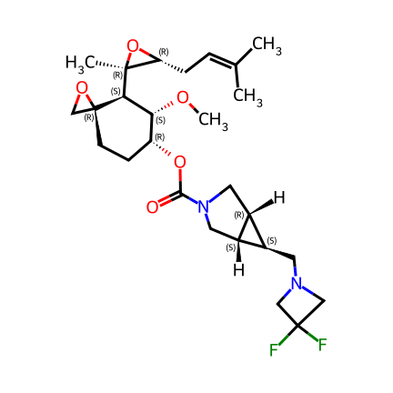 CO[C@@H]1[C@H](OC(=O)N2C[C@@H]3[C@@H](CN4CC(F)(F)C4)[C@@H]3C2)CC[C@]2(CO2)[C@H]1[C@@]1(C)O[C@@H]1CC=C(C)C